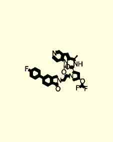 C[C@@H](NC(=O)[C@@H]1C[C@@H](OC(F)F)CN1C(=O)CN1Cc2cc(-c3ccc(F)cc3)ccc2C1=O)c1cc2cnccc2[nH]1